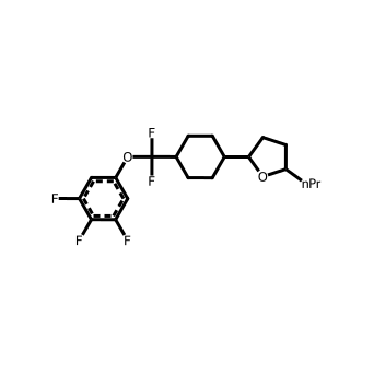 CCCC1CCC(C2CCC(C(F)(F)Oc3cc(F)c(F)c(F)c3)CC2)O1